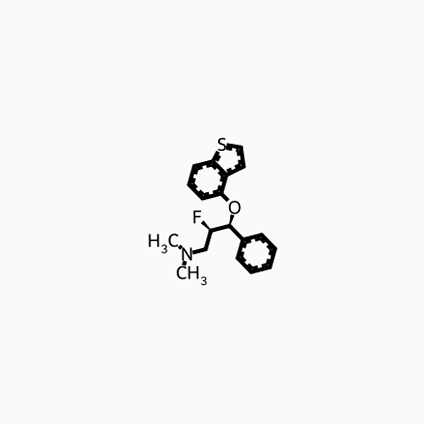 CN(C)C[C@@H](F)[C@@H](Oc1cccc2sccc12)c1ccccc1